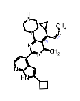 C=c1nc(-c2ccnc3[nH]c(C4CCC4)cc23)nc(N2CCNCC2)/c1=C(/C=N\C)C1CC1